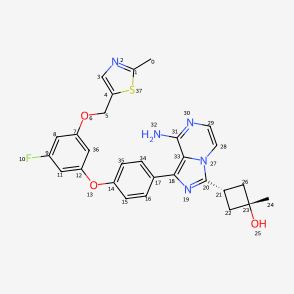 Cc1ncc(COc2cc(F)cc(Oc3ccc(-c4nc([C@H]5C[C@@](C)(O)C5)n5ccnc(N)c45)cc3)c2)s1